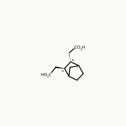 O=C(O)C[C@@H]1C2CCC(C2)[C@H]1CC(=O)O